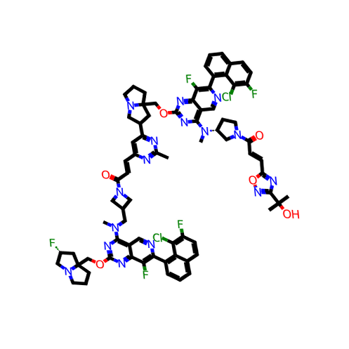 Cc1nc(/C=C/C(=O)N2CC(CN(C)c3nc(OCC45CCCN4C[C@H](F)C5)nc4c(F)c(-c5cccc6ccc(F)c(Cl)c56)ncc34)C2)cc(C2CN3CCCC3(COc3nc(N(C)[C@@H]4CCN(C(=O)/C=C/c5nc(C(C)(C)O)no5)C4)c4cnc(-c5cccc6ccc(F)c(Cl)c56)c(F)c4n3)C2)n1